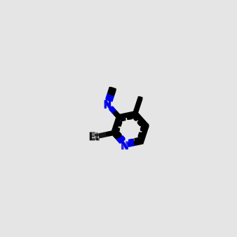 C=Nc1c(C)ccnc1CC